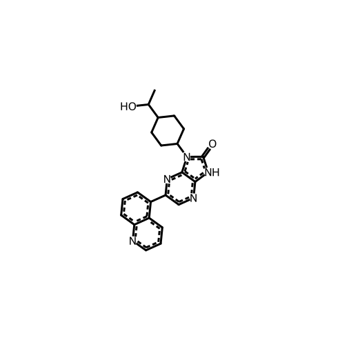 CC(O)C1CCC(n2c(=O)[nH]c3ncc(-c4cccc5ncccc45)nc32)CC1